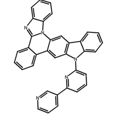 c1cncc(-c2cccc(-n3c4ccccc4c4cc5c(cc43)c3ccccc3c3nc4ccccc4n53)n2)c1